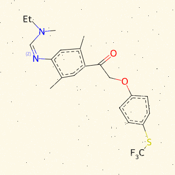 CCN(C)/C=N\c1cc(C)c(C(=O)COc2ccc(SC(F)(F)F)cc2)cc1C